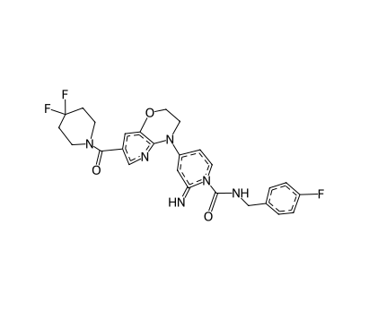 N=c1cc(N2CCOc3cc(C(=O)N4CCC(F)(F)CC4)cnc32)ccn1C(=O)NCc1ccc(F)cc1